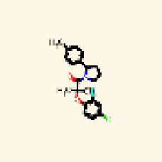 Cc1ccc(C2CCCN2C(=O)C(C)(C)Oc2ccc(Cl)cc2F)cc1